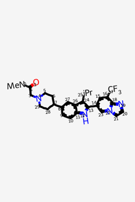 CNC(=O)CN1CCC(c2ccc3[nH]c(-c4cc(C(F)(F)F)c5nccn5c4)c(C(C)C)c3c2)CC1